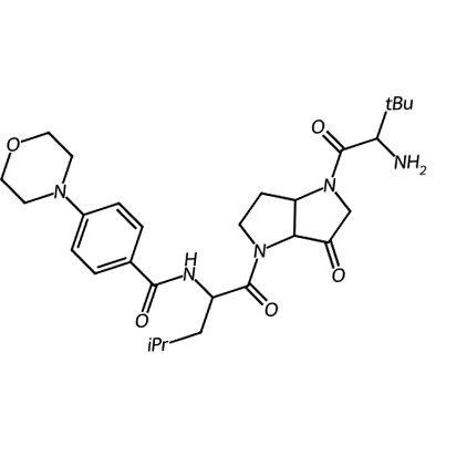 CC(C)CC(NC(=O)c1ccc(N2CCOCC2)cc1)C(=O)N1CCC2C1C(=O)CN2C(=O)C(N)C(C)(C)C